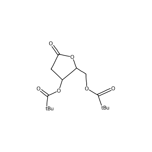 CC(C)(C)C(=O)OCC1OC(=O)CC1OC(=O)C(C)(C)C